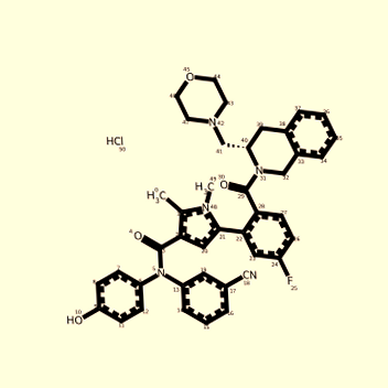 Cc1c(C(=O)N(c2ccc(O)cc2)c2cccc(C#N)c2)cc(-c2cc(F)ccc2C(=O)N2Cc3ccccc3C[C@H]2CN2CCOCC2)n1C.Cl